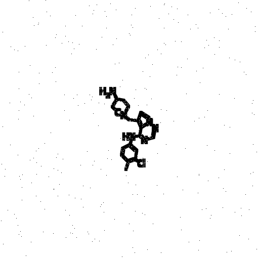 Cc1ccc(Nc2ncnn3ccc(CN4CCC(N)CC4)c23)cc1Cl